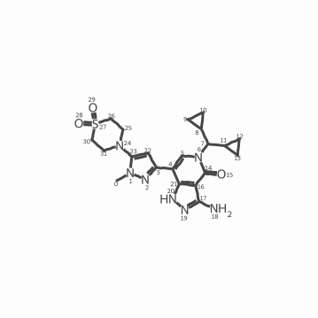 Cn1nc(-c2cn(C(C3CC3)C3CC3)c(=O)c3c(N)n[nH]c23)cc1N1CCS(=O)(=O)CC1